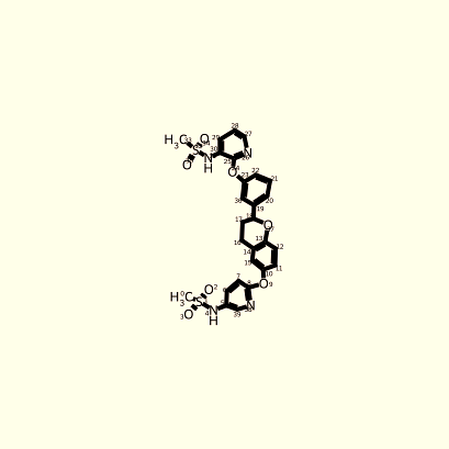 CS(=O)(=O)Nc1ccc(Oc2ccc3c(c2)CCC(c2cccc(Oc4ncccc4NS(C)(=O)=O)c2)O3)nc1